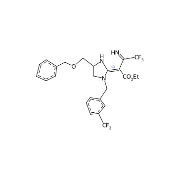 CCOC(=O)/C(C(=N)C(F)(F)F)=C1/NC(COCc2ccccc2)CN1Cc1cccc(C(F)(F)F)c1